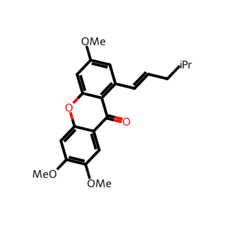 COc1cc(C=CCC(C)C)c2c(=O)c3cc(OC)c(OC)cc3oc2c1